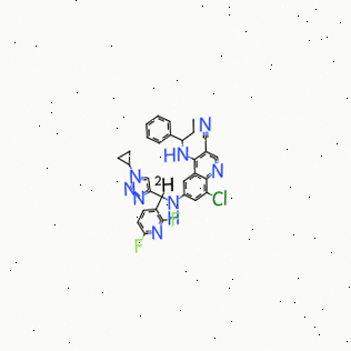 [2H]C(Nc1cc(Cl)c2ncc(C#N)c(NC(CC)c3ccccc3)c2c1)(c1cn(C2CC2)nn1)c1ccc(F)nc1F